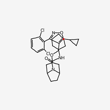 O=C(NC1CCCCC1)N1C2CCC1CC(OCc1c(-c3c(Cl)cccc3Cl)noc1C1CC1)C2